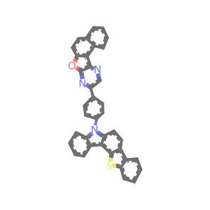 c1ccc2c(c1)ccc1oc3nc(-c4ccc(-n5c6ccccc6c6c7sc8ccccc8c7ccc65)cc4)cnc3c12